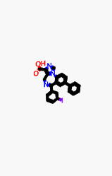 O=C(O)c1ncn2c1CN=C(C1=CC=CC(I)C1)c1cc(-c3ccccc3)ccc1-2